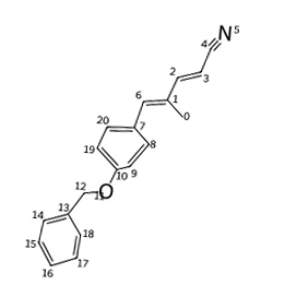 CC(/C=C/C#N)=C\c1ccc(OCc2ccccc2)cc1